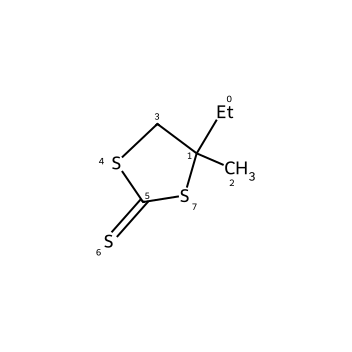 CCC1(C)CSC(=S)S1